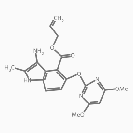 C=CCOC(=O)c1c(Oc2nc(OC)cc(OC)n2)ccc2[nH]c(C)c(N)c12